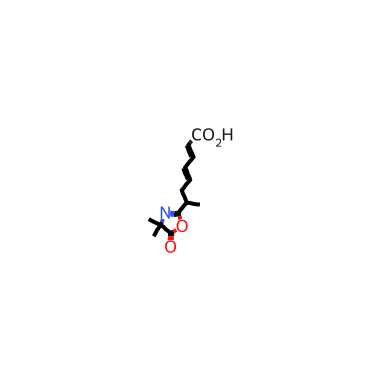 CC(CC=CC=CC(=O)O)C1=NC(C)(C)C(=O)O1